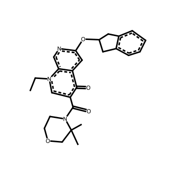 CCn1cc(C(=O)N2CCOCC2(C)C)c(=O)c2cc(OC3Cc4ccccc4C3)ncc21